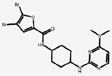 CN(C)c1ccnc(NC2CCC(NC(=O)c3cc(Br)c(Br)o3)CC2)n1